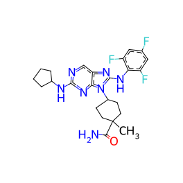 CC1(C(N)=O)CCC(n2c(Nc3c(F)cc(F)cc3F)nc3cnc(NC4CCCC4)nc32)CC1